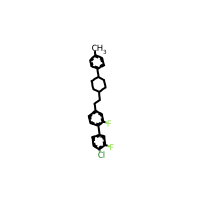 Cc1ccc(C2CCC(CCc3ccc(-c4ccc(Cl)c(F)c4)c(F)c3)CC2)cc1